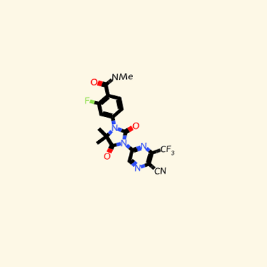 CNC(=O)c1ccc(N2C(=O)N(c3cnc(C#N)c(C(F)(F)F)n3)C(=O)C2(C)C)cc1F